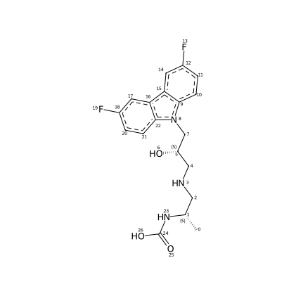 C[C@@H](CNC[C@H](O)Cn1c2ccc(F)cc2c2cc(F)ccc21)NC(=O)O